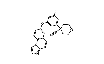 N#CC1(c2cc(F)cc(Sc3ccc4c(ccc5nncn54)c3)c2)CCOCC1